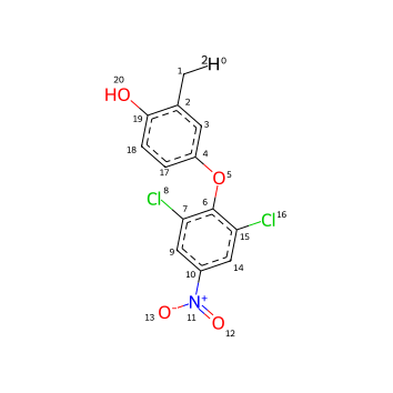 [2H]Cc1cc(Oc2c(Cl)cc([N+](=O)[O-])cc2Cl)ccc1O